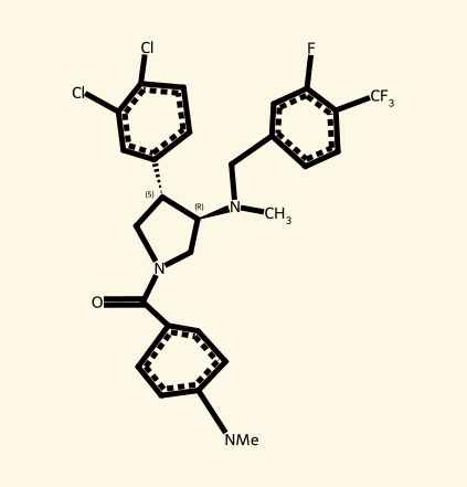 CNc1ccc(C(=O)N2C[C@H](c3ccc(Cl)c(Cl)c3)[C@@H](N(C)Cc3ccc(C(F)(F)F)c(F)c3)C2)cc1